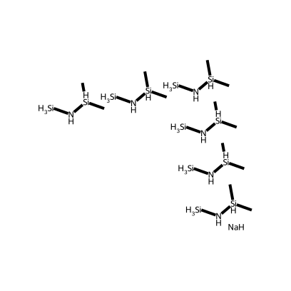 C[SiH](C)N[SiH3].C[SiH](C)N[SiH3].C[SiH](C)N[SiH3].C[SiH](C)N[SiH3].C[SiH](C)N[SiH3].C[SiH](C)N[SiH3].[NaH]